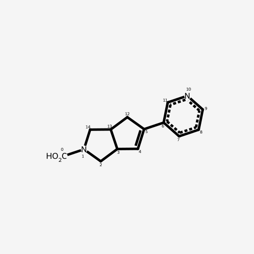 O=C(O)N1CC2C=C(c3cccnc3)CC2C1